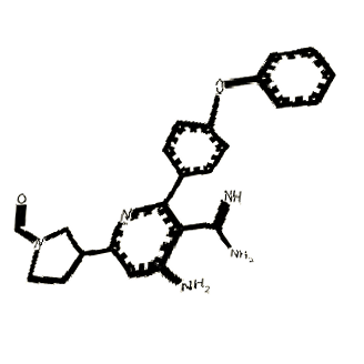 N=C(N)c1c(N)cc(C2CCN(C=O)C2)nc1-c1ccc(Oc2ccccc2)cc1